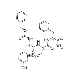 NC(=O)[C@H](Cc1ccccc1)NC(=O)[C@H](CC(=O)O)NC(=O)[C@H](Cc1ccc(O)cc1)NC(=O)OCc1ccccc1